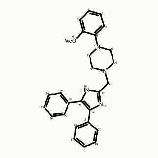 COc1ccccc1N1CCN(Cc2nc(-c3ccccc3)c(-c3ccccc3)[nH]2)CC1